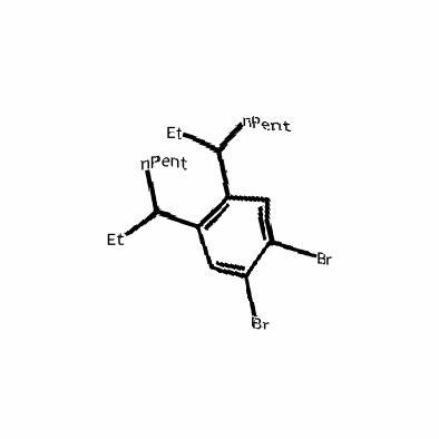 CCCCCC(CC)c1cc(Br)c(Br)cc1C(CC)CCCCC